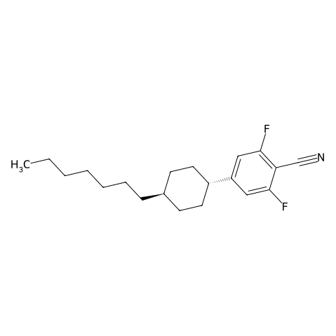 CCCCCCC[C@H]1CC[C@H](c2cc(F)c(C#N)c(F)c2)CC1